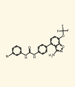 Nc1noc2c(OC(F)(F)F)ccc(-c3ccc(NC(=O)Nc4cccc(Br)c4)cc3)c12